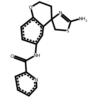 NC1=NC2(CCOc3ccc(NC(=O)c4ccccn4)cc32)CS1